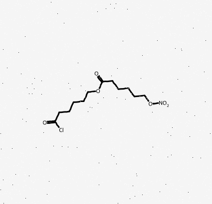 O=C(Cl)CCCCCOC(=O)CCCCCO[N+](=O)[O-]